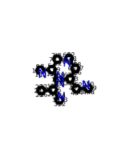 c1ccc(-c2cc(-c3ccccn3)cc(-c3cc(-c4cc(-c5ccccc5)cc(-c5ccccn5)c4)nc(-c4cc(-c5cccc(-c6ccccn6)c5)cc(-c5cccc(-c6ccccn6)c5)c4)n3)c2)cc1